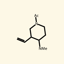 C=CC1CN(C(C)=O)CCC1NC